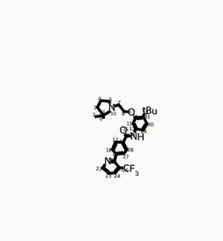 CC1(C)CCCN(CCOc2cc(NC(=O)c3ccc(-c4ncccc4C(F)(F)F)cc3)ccc2C(C)(C)C)C1